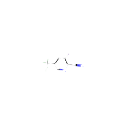 N#Cc1ncc(C(F)(F)F)cc1I